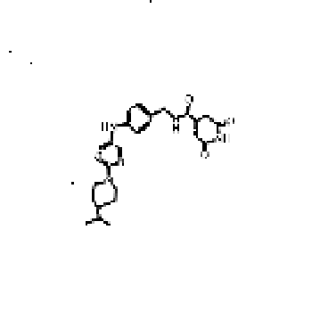 CC(C)C1CCN(c2ncc(Nc3ccc(CNC(=O)C4CC(=O)NC(=O)C4)cc3)cn2)CC1